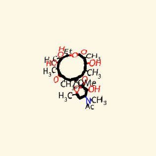 CC[C@H]1OC(=O)[C@H](C)[C@@H](O)[C@H](C)[C@H](OC2O[C@H](C)C[C@H](N(C)C(C)=O)[C@@H]2O)C(C)(OC)C[C@H](C)C(=O)[C@H](C)[C@@H](O)[C@]1(C)O